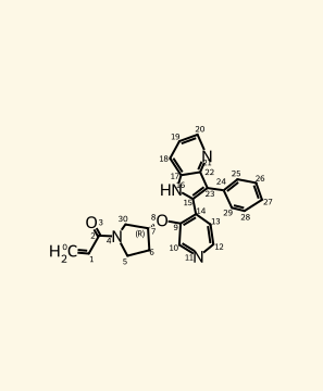 C=CC(=O)N1CC[C@@H](Oc2cnccc2-c2[nH]c3cccnc3c2-c2ccccc2)C1